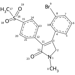 CN1CC(c2cccc(Br)c2)=C(c2ccc(S(C)(=O)=O)cc2)C1=O